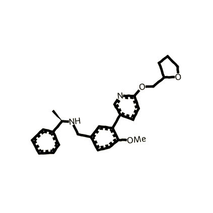 COc1ccc(CN[C@H](C)c2ccccc2)cc1-c1ccc(OCC2CCCO2)nc1